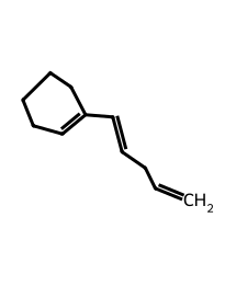 C=CCC=CC1=CCCCC1